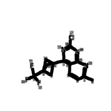 Cc1ccc2c(C34CC(C(F)(F)F)(C3)C4)nc(Cl)nc2n1